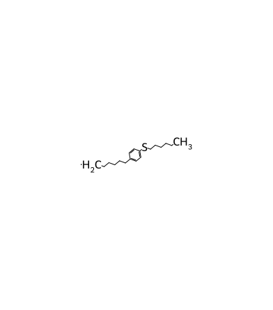 [CH2]CCCCCc1ccc(SCCCCCC)cc1